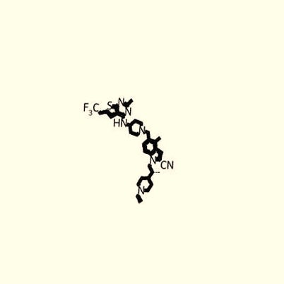 C=CN1CCC([C@@H](C)Cn2c(C#N)cc3c(C)c(CN4CCC(Nc5nc(C)nc6sc(CC(F)(F)F)cc56)CC4)ccc32)CC1